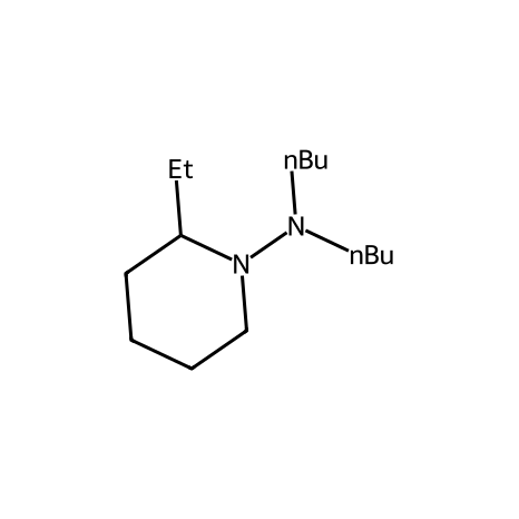 CCCCN(CCCC)N1CCCCC1CC